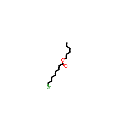 CC/C=C\CCOC(=O)CCCCCCCBr